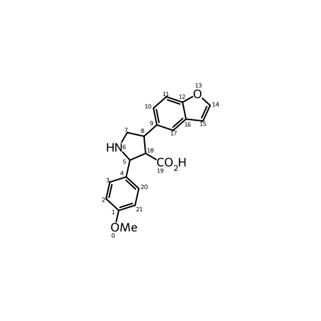 COc1ccc(C2NCC(c3ccc4occc4c3)C2C(=O)O)cc1